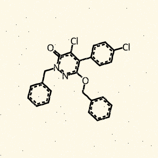 O=c1c(Cl)c(-c2ccc(Cl)cc2)c(OCc2ccccc2)nn1Cc1ccccc1